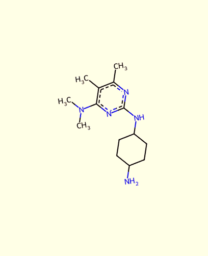 Cc1nc(NC2CCC(N)CC2)nc(N(C)C)c1C